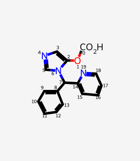 O=C(O)Oc1cncn1C(c1ccccc1)c1ccccn1